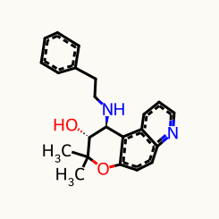 CC1(C)Oc2ccc3ncccc3c2[C@H](NCCc2ccccc2)[C@H]1O